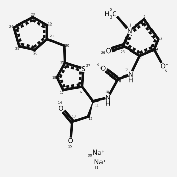 Cn1ccc([O-])c(NC(=O)N[C@@H](CC(=O)[O-])c2ccc(Cc3ccccc3)s2)c1=O.[Na+].[Na+]